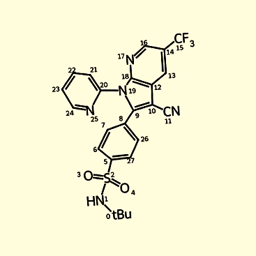 CC(C)(C)NS(=O)(=O)c1ccc(-c2c(C#N)c3cc(C(F)(F)F)cnc3n2-c2ccccn2)cc1